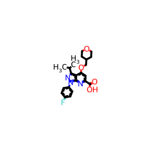 CC(C)c1nn(-c2ccc(F)cc2)c2nc(C(=O)O)cc(OCC3CCOCC3)c12